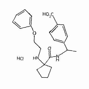 CC(NC(=O)C1(NCCOc2ccccc2)CCCC1)c1ccc(C(=O)O)cc1.Cl